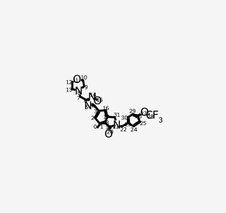 Cc1cc(-c2nc(CN3CCOCC3)no2)cc2c1C(=O)N(Cc1ccc(OC(F)(F)F)cc1)C2